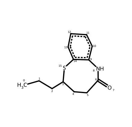 CCCC1CCC(=O)Nc2ccccc2S1